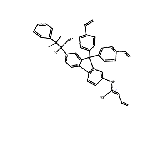 C=C/C=C(\CC)Nc1ccc2c(c1)C(c1ccc(C=C)cc1)(c1ccc(C=C)cc1)c1cc(C(CC)(CCC)C(C)(C)c3ccccc3)ccc1-2